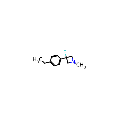 CCc1ccc(C2(F)CN(C)C2)cc1